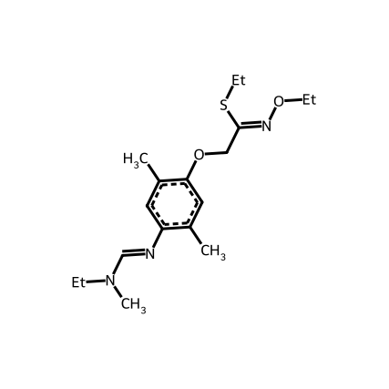 CCON=C(COc1cc(C)c(N=CN(C)CC)cc1C)SCC